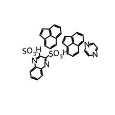 C1=Cc2cccc3cccc1c23.C1=Cc2cccc3cccc1c23.O=S(=O)(O)c1nc2ccccc2nc1S(=O)(=O)O.c1cnccn1